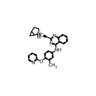 C#Cc1nc(Nc2ccc(Oc3ccccn3)c(C)c2)c2ccccc2n1.C1CC2CC2N1